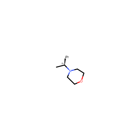 CC(C)[C@H](C)N1CCOCC1